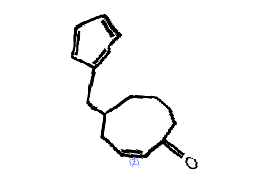 O=C1/C=C\CC(Cc2ccccc2)CCC1